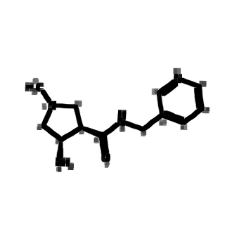 CN1C[C@H](N)[C@H](C(=O)NCc2cccnc2)C1